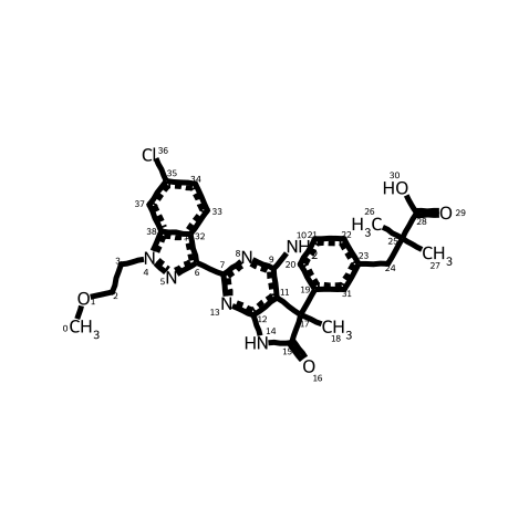 COCCn1nc(-c2nc(N)c3c(n2)NC(=O)C3(C)c2cccc(CC(C)(C)C(=O)O)c2)c2ccc(Cl)cc21